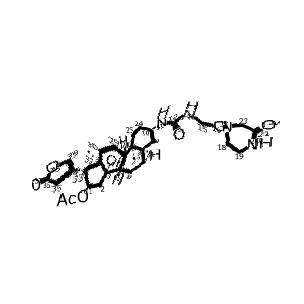 CC(=O)O[C@H]1C[C@]2(O)[C@@H]3CC[C@@H]4C[C@@H](NC(=O)NCCN5CCNC(=O)C5)CC[C@]4(C)[C@H]3CC[C@]2(C)[C@H]1C1=CC(=O)OC1